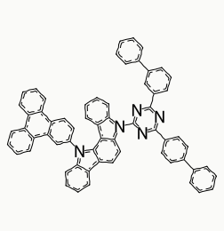 c1ccc(-c2ccc(-c3nc(-c4cccc(-c5ccccc5)c4)nc(-n4c5ccccc5c5c4ccc4c6ccccc6n(-c6ccc7c8ccccc8c8ccccc8c7c6)c45)n3)cc2)cc1